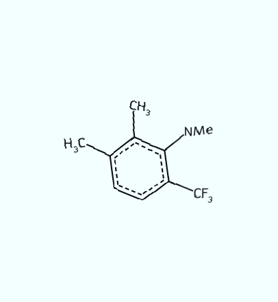 CNc1c(C(F)(F)F)ccc(C)c1C